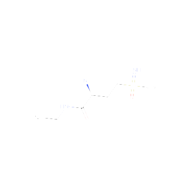 CCCCS(=N)(=O)CC[C@H](N)C(=O)NCC#N